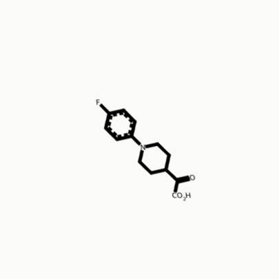 O=C(O)C(=O)C1CCN(c2ccc(F)cc2)CC1